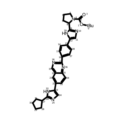 CC(C)(C)OC(=O)N1CCCC1c1ncc(-c2ccc(-c3ncc4cc(-c5cnc(C6CCCC6)[nH]5)ccc4n3)cc2)[nH]1